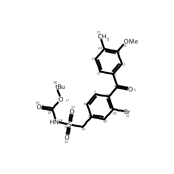 COc1cc(C(=O)c2ccc(CS(=O)(=O)NC(=O)OC(C)(C)C)cc2Br)ccc1C